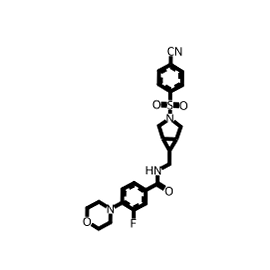 N#Cc1ccc(S(=O)(=O)N2CC3C(CNC(=O)c4ccc(N5CCOCC5)c(F)c4)C3C2)cc1